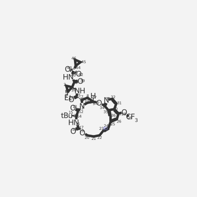 CC[C@@H]1C[C@]1(NC(=O)[C@@H]1C[C@@H]2CN1C(=O)[C@H](C(C)(C)C)NC(=O)OCCC/C=C/c1cc(OC(F)(F)F)c3ccnc(c3c1)O2)C(=O)NS(=O)(=O)C1CC1